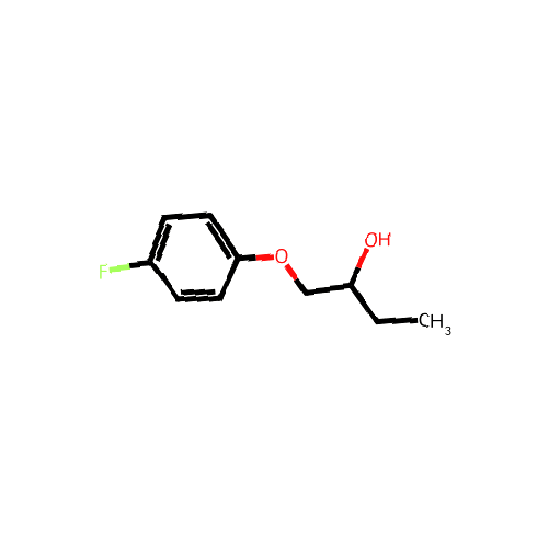 CCC(O)COc1ccc(F)cc1